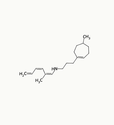 C=C/C=C\C(C)=C/NCCCC1=CCCC(C)CC1